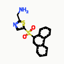 NCc1ncc(S(=O)(=O)c2cc3ccccc3c3ccccc23)s1